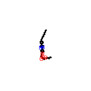 CCCCCCCCCCc1ccc(-c2cnc(-c3ccc(OCC(C)OC(=O)C(C)OCCCCC)cc3)nc2)cc1